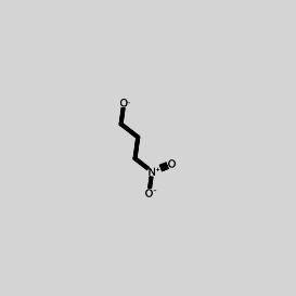 [O]CCC[N+](=O)[O-]